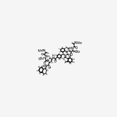 CN[C@@H](C)C(=O)NC(C(=O)N1CCc2ccccc2[C@H]1C(=O)N(Cc1ccc(C(=O)N[C@H]2CC(C(=O)NC3CCCc4ccccc43)N(C(=O)[C@@H](NC(=O)[C@H](C)NC)C(C)(C)C)C2)cc1)[C@H](C)c1ccccc1F)C(C)(C)C